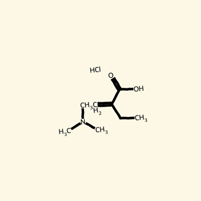 C=C(CC)C(=O)O.CN(C)C.Cl